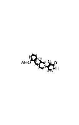 COc1ncccc1CN1CCN(c2cn[nH]c(=O)c2Cl)CC1=O